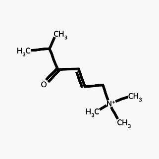 CC(C)C(=O)/C=C/C[N+](C)(C)C